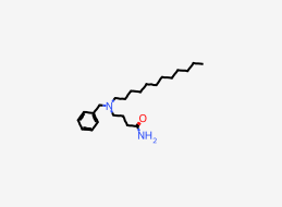 CCCCCCCCCCCCN(CCCC(N)=O)Cc1ccccc1